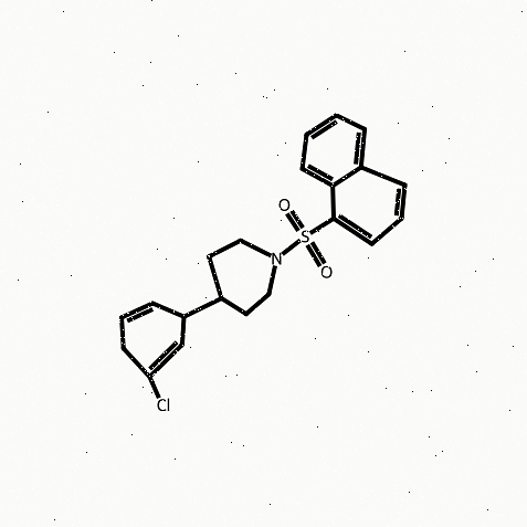 O=S(=O)(c1cccc2ccccc12)N1CCC(C2C=CCC(Cl)=C2)CC1